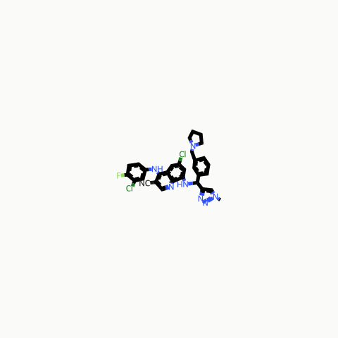 Cn1cc(C(Nc2cc(Cl)cc3c(Nc4ccc(F)c(Cl)c4)c(C#N)cnc23)c2cccc(CN3CCCC3)c2)nn1